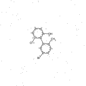 Cc1ccc(Br)cc1-c1c(O)cccc1Cl